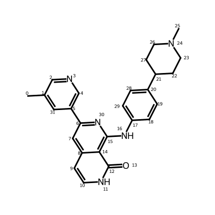 Cc1cncc(-c2cc3cc[nH]c(=O)c3c(Nc3ccc(C4CCN(C)CC4)cc3)n2)c1